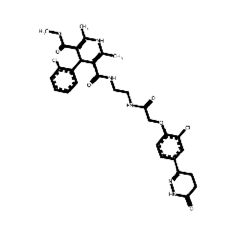 COC(=O)C1=C(C)NC(C)=C(C(=O)NCCNC(=O)COc2ccc(C3=NNC(=O)CC3)cc2Cl)C1c1ccccc1Cl